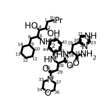 CC(C)CC(O)C(O)C(N)CC1CCCCC1.NC(=O)C(Cc1c[nH]cn1)NC(=O)C(CC(=O)N1CCOCC1)Nc1ccccc1